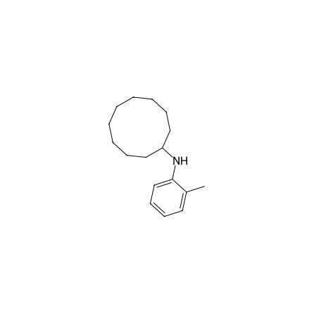 Cc1ccccc1NC1CCCCCCCCC1